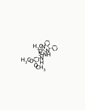 COc1ccc(NC(=S)NC2N=C(c3ccccc3)c3ccccc3N(C)C2=O)cc1OC